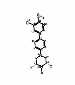 C[C@@H]1CN(c2ccc(-c3cnc(N)c(Cl)c3)cc2)C[C@H](C)N1C